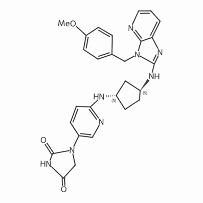 COc1ccc(Cn2c(N[C@H]3CC[C@H](Nc4ccc(N5CC(=O)NC5=O)cn4)C3)nc3cccnc32)cc1